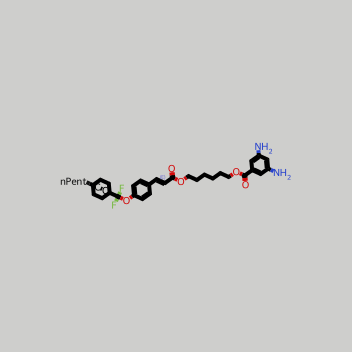 CCCCCC12CCC(C(F)(F)Oc3ccc(/C=C/C(=O)OCCCCCCOC(=O)c4cc(N)cc(N)c4)cc3)(CC1)CC2